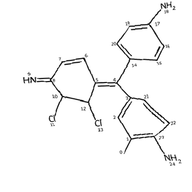 Cc1cc(C(=C2C=CC(=N)C(Cl)C2Cl)c2ccc(N)cc2)ccc1N